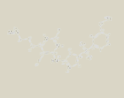 CCOc1cccc(S(=O)(=O)c2cnc(Nc3nc(C)nc(OCCNC)c3F)s2)c1